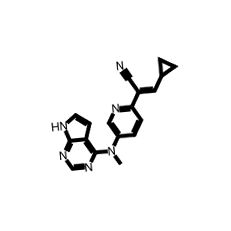 CN(c1ccc(C(C#N)=CC2CC2)nc1)c1ncnc2[nH]ccc12